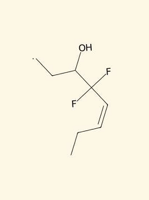 [CH2]CC(O)C(F)(F)/C=C\CC